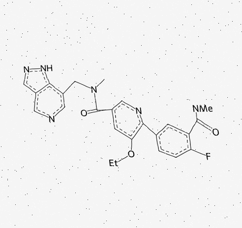 CCOc1cc(C(=O)N(C)Cc2cncc3cn[nH]c23)cnc1-c1ccc(F)c(C(=O)NC)c1